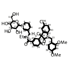 CCN(Cc1ccc[n+](C2O[C@H](CO)[C@H](O)[C@H](O)[C@H]2O)c1)C(=O)c1ccc(Cl)c(C2(C)C(=O)N(Cc3ccc(OC)cc3OC)c3ccc(Cl)cc32)c1